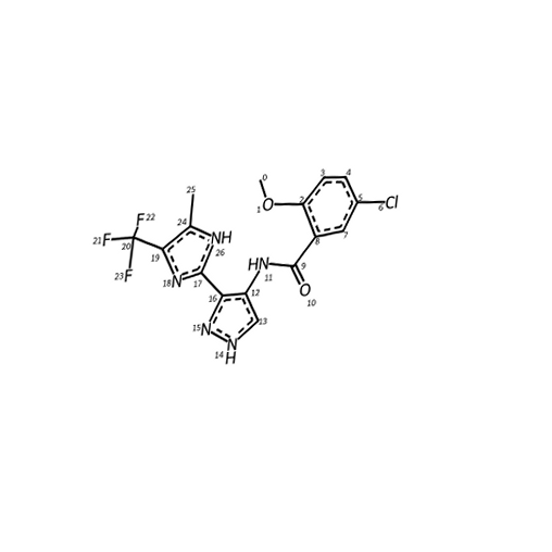 COc1ccc(Cl)cc1C(=O)Nc1c[nH]nc1-c1nc(C(F)(F)F)c(C)[nH]1